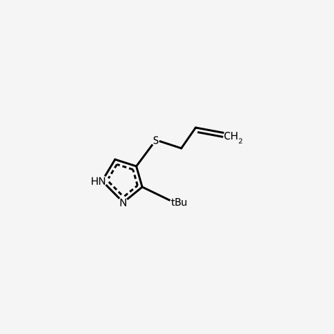 C=CCSc1c[nH]nc1C(C)(C)C